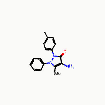 Cc1ccc(-n2c(=O)c(N)c(C(C)(C)C)n2-c2ccccc2)cc1